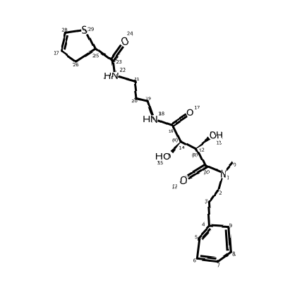 CN(CCc1ccccc1)C(=O)[C@H](O)[C@@H](O)C(=O)NCCCNC(=O)C1CC=CS1